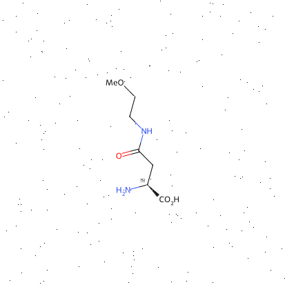 COCCNC(=O)C[C@H](N)C(=O)O